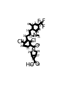 Cc1cc(C(F)(F)F)cc(N(C)C)c1/C=C/Cc1c(Cl)ccc(C(=O)N2CC3C(C2)C3C(=O)O)c1Cl